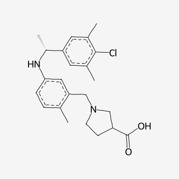 Cc1ccc(N[C@H](C)c2cc(C)c(Cl)c(C)c2)cc1CN1CCC(C(=O)O)C1